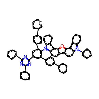 c1ccc(-c2ccc(-c3cc(-c4nc(-c5ccccc5)nc(-c5ccccc5)n4)cc(-c4ccc(-c5ccccc5)cc4)c3-n3c4ccccc4c4c5oc6c(ccc7c6c6ccccc6n7-c6ccccc6)c5ccc43)cc2)cc1